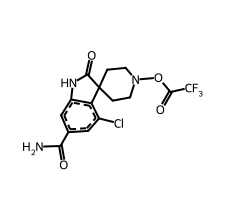 NC(=O)c1cc(Cl)c2c(c1)NC(=O)C21CCN(OC(=O)C(F)(F)F)CC1